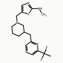 CNc1ncc(CN2CCCC(Cc3cncc(C(F)(F)F)n3)C2)s1